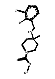 CC1(NCc2cccc(Cl)c2Br)CCN(C(=O)OC(C)(C)C)CC1